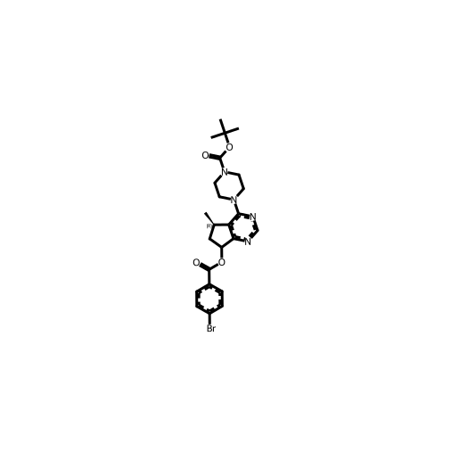 C[C@@H]1CC(OC(=O)c2ccc(Br)cc2)c2ncnc(N3CCN(C(=O)OC(C)(C)C)CC3)c21